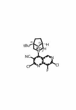 CC(C)(C)[C@]12CC[C@@H](CN(c3c(C#N)c(Cl)nc4c(F)c(Cl)ncc34)C1)N2C(=O)O